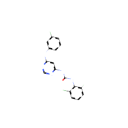 O=C(Nc1cc(Nc2cccc(Cl)c2)ncn1)Nc1c(Cl)cccc1Cl